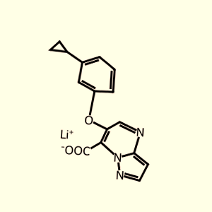 O=C([O-])c1c(Oc2cccc(C3CC3)c2)cnc2ccnn12.[Li+]